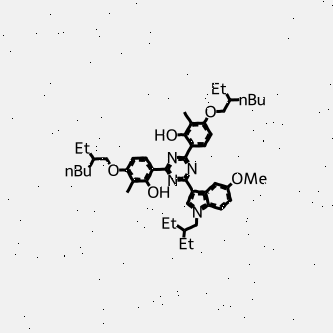 CCCCC(CC)COc1ccc(-c2nc(-c3ccc(OCC(CC)CCCC)c(C)c3O)nc(-c3cn(CC(CC)CC)c4ccc(OC)cc34)n2)c(O)c1C